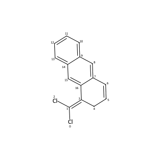 ClC(Cl)=C1CC=Cc2cc3ccccc3cc21